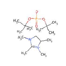 CC(C)(C)OP(=O)([O-])OC(C)(C)C.CC1=[N+](C)C(C)CN1C